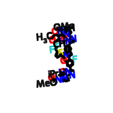 COC(=O)NC(C(=O)N1[C@@H]2C[C@@H]2C[C@H]1c1ncc(-c2ccc3c(c2)cc2n3C(c3ccc(C(F)F)s3)Oc3cc(-c4cnc([C@@H]5CCCN5C(=O)[C@@H](NC(=O)OC)C(C)C)[nH]4)cc(F)c3-2)[nH]1)C1C[C@@H](C)O[C@@H](C)C1